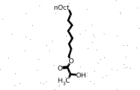 CCCCCCCCCCCCCCCCOC(=O)C(C)O